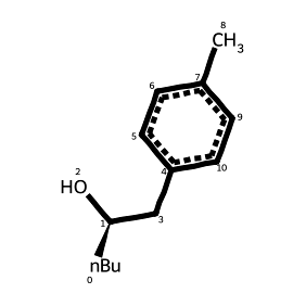 CCCC[C@@H](O)Cc1ccc(C)cc1